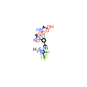 Cn1nc(C(F)(F)C(F)(F)F)c(C(F)(F)F)c1-n1cc(-c2ccc(Cl)c(C(=O)N(COC(=O)NC3CC3C(=O)O)C3(C#N)CC3)c2)cn1